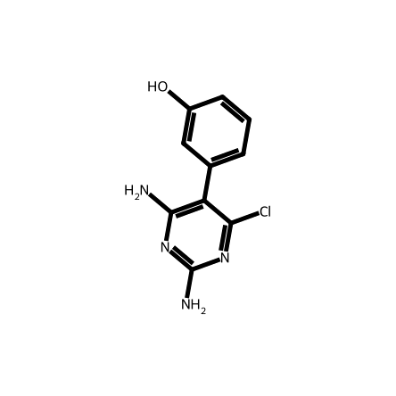 Nc1nc(N)c(-c2cccc(O)c2)c(Cl)n1